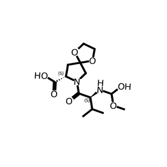 COC(O)N[C@H](C(=O)N1CC2(C[C@H]1C(=O)O)OCCO2)C(C)C